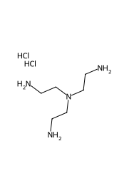 Cl.Cl.NCCN(CCN)CCN